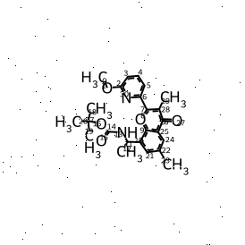 COc1cccc(-c2oc3c([C@@H](C)NC(=O)OC(C)(C)C)cc(C)cc3c(=O)c2C)n1